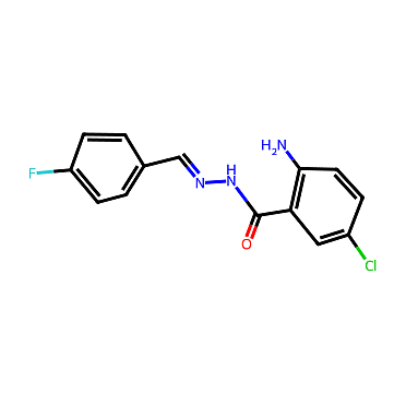 Nc1ccc(Cl)cc1C(=O)NN=Cc1ccc(F)cc1